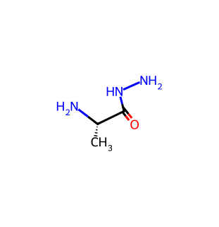 C[C@H](N)C(=O)NN